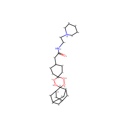 O=C(CC1CCC2(CC1)OOC1(OO2)C2CC3CC(C2)CC1C3)NCCN1CCCCC1